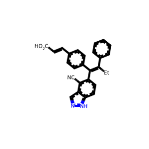 CC/C(=C(/c1ccc(/C=C/C(=O)O)cc1)c1ccc2[nH]ncc2c1C#N)c1ccccc1